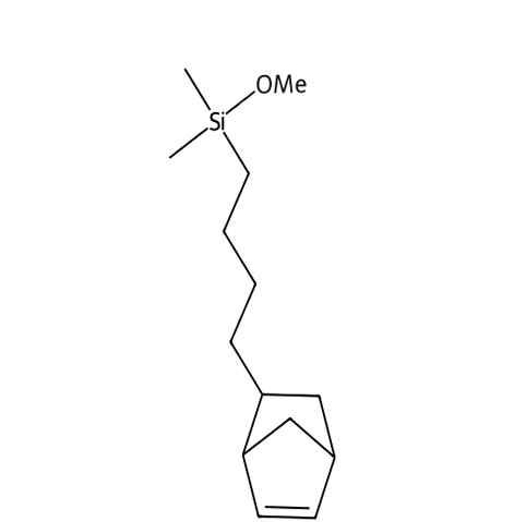 CO[Si](C)(C)CCCCC1CC2C=CC1C2